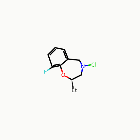 CC[C@@H]1CN(Cl)Cc2cccc(F)c2O1